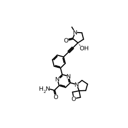 CN1CC[C@@](O)(C#Cc2cccc(-c3nc(C(N)=O)cc(N4CCCC45COC5)n3)c2)C1=O